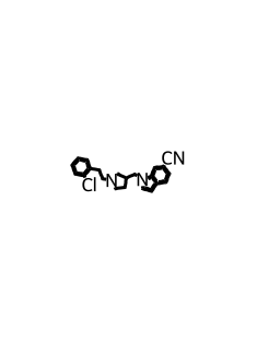 N#Cc1ccc2ccn(CC3CCN(CCc4ccccc4Cl)C3)c2c1